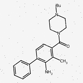 CCC(C)N1CCN(C(=O)c2ccc(-c3ccccc3)c(N)c2C)CC1